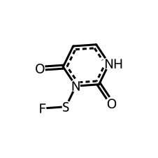 O=c1cc[nH]c(=O)n1SF